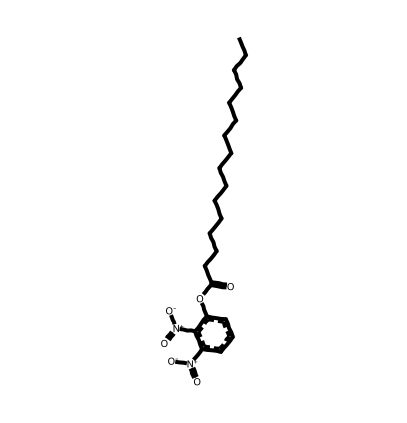 CCCCCCCCCCCCCCCC(=O)Oc1cccc([N+](=O)[O-])c1[N+](=O)[O-]